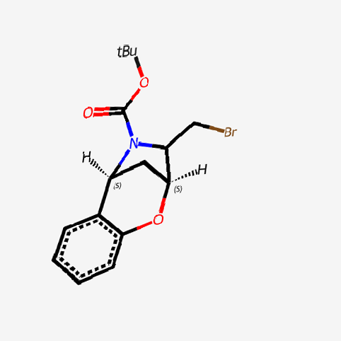 CC(C)(C)OC(=O)N1C(CBr)[C@@H]2C[C@H]1c1ccccc1O2